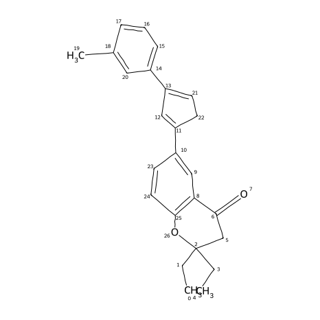 CCC1(CC)CC(=O)c2cc(C3=CC(c4cccc(C)c4)=CC3)ccc2O1